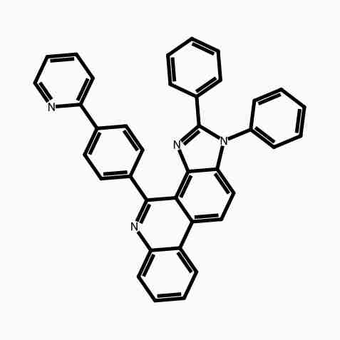 c1ccc(-c2nc3c4c(-c5ccc(-c6ccccn6)cc5)nc5ccccc5c4ccc3n2-c2ccccc2)cc1